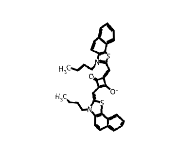 CCCCN1/C(=C/C2=C([O-])C(=C/c3sc4c5ccccc5ccc4[n+]3CCCC)/C2=O)Sc2c1ccc1ccccc21